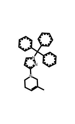 CC1=CCCN(c2ccn(C(c3ccccc3)(c3ccccc3)c3ccccc3)n2)C1